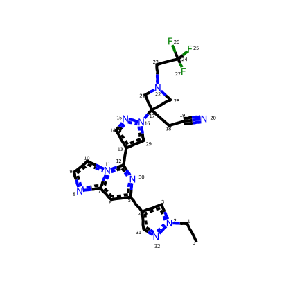 CCn1cc(-c2cc3nccn3c(-c3cnn(C4(CC#N)CN(CC(F)(F)F)C4)c3)n2)cn1